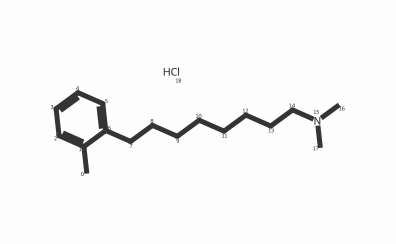 Cc1ccccc1CCCCCCCCN(C)C.Cl